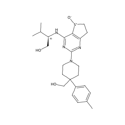 Cc1ccc(C2(CO)CCN(c3nc4c(c(N[C@@H](CO)C(C)C)n3)[S+]([O-])CC4)CC2)cc1